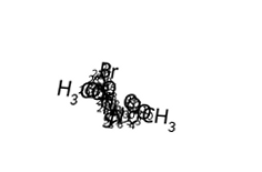 COc1ccc(Cc2csc(N3CCC(S(=O)(=O)c4cc(Br)ccc4OC)CC3)n2)cc1OC